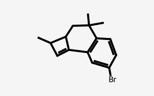 CC1C=C2c3cc(Br)ccc3C(C)(C)CC21